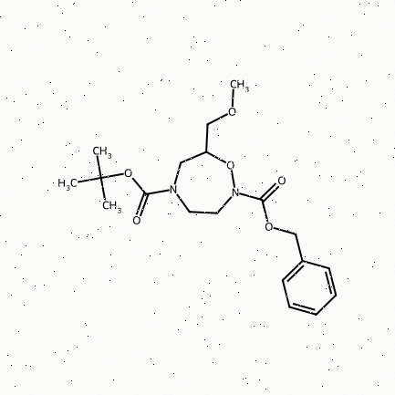 COCC1CN(C(=O)OC(C)(C)C)CCN(C(=O)OCc2ccccc2)O1